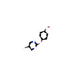 FC(F)(F)Oc1ccc(Oc2ncc(Br)cn2)cc1